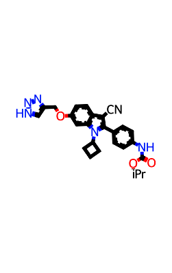 CC(C)OC(=O)Nc1ccc(-c2c(C#N)c3ccc(OCc4c[nH]nn4)cc3n2C2CCC2)cc1